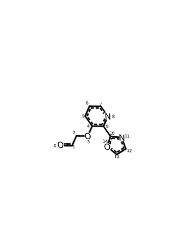 O=CCOc1cccnc1-c1ncco1